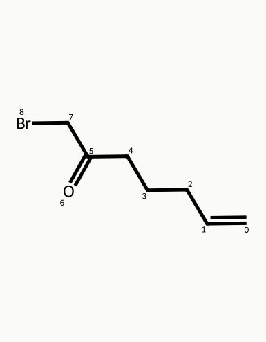 C=CCCCC(=O)CBr